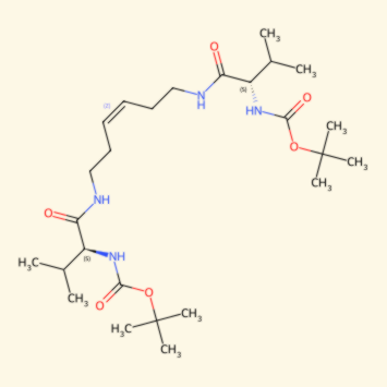 CC(C)[C@H](NC(=O)OC(C)(C)C)C(=O)NCC/C=C\CCNC(=O)[C@@H](NC(=O)OC(C)(C)C)C(C)C